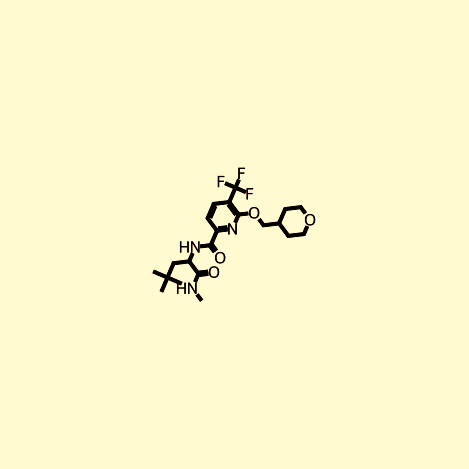 CNC(=O)C(CC(C)(C)C)NC(=O)c1ccc(C(F)(F)F)c(OCC2CCOCC2)n1